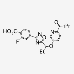 CCC(Oc1ccc(C(=O)C(C)C)nc1)c1nc(-c2ccc(C(=O)O)c(F)c2)no1